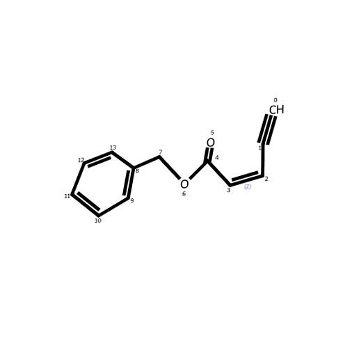 C#C/C=C\C(=O)OCc1ccccc1